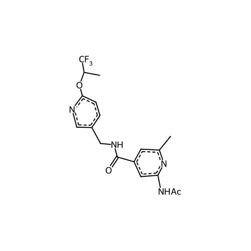 CC(=O)Nc1cc(C(=O)NCc2ccc(OC(C)C(F)(F)F)nc2)cc(C)n1